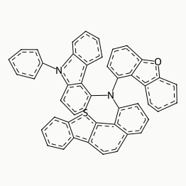 c1ccc(-n2c3ccccc3c3c(N(c4cccc5oc6ccccc6c45)c4cccc5ccc6c7ccccc7sc6c45)cccc32)cc1